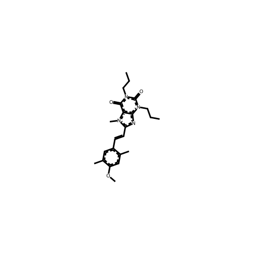 CCCn1c(=O)c2c(nc(C=Cc3cc(C)c(OC)cc3C)n2C)n(CCC)c1=O